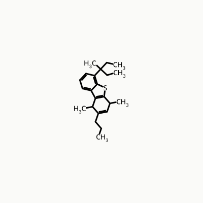 CCCC1=CC(C)c2sc3c(C(C)(CC)CC)cccc3c2C1C